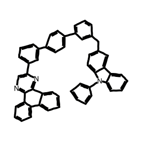 c1ccc(-n2c3ccccc3c3cc(Cc4cccc(-c5ccc(-c6cccc(-c7cnc8c9ccccc9c9ccccc9c8n7)c6)cc5)c4)ccc32)cc1